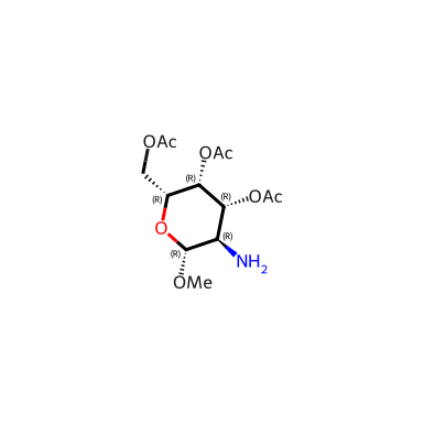 CO[C@@H]1O[C@H](COC(C)=O)[C@H](OC(C)=O)[C@H](OC(C)=O)[C@H]1N